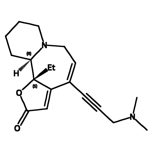 CC[C@]12OC(=O)C=C1C(C#CCN(C)C)=CCN1CCCC[C@@H]12